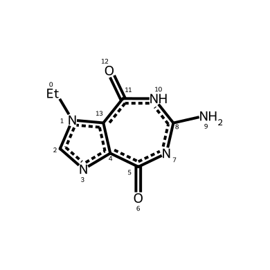 CCn1cnc2c(=O)nc(N)[nH]c(=O)c21